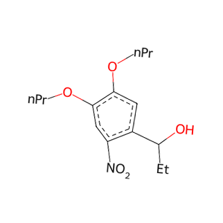 CCCOc1cc(C(O)CC)c([N+](=O)[O-])cc1OCCC